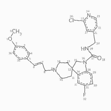 COc1ccc(/C=C/CN2CCC3(CC2)CN(C(=O)NCc2ccnc(Cl)c2)c2ccc(F)cc23)cc1